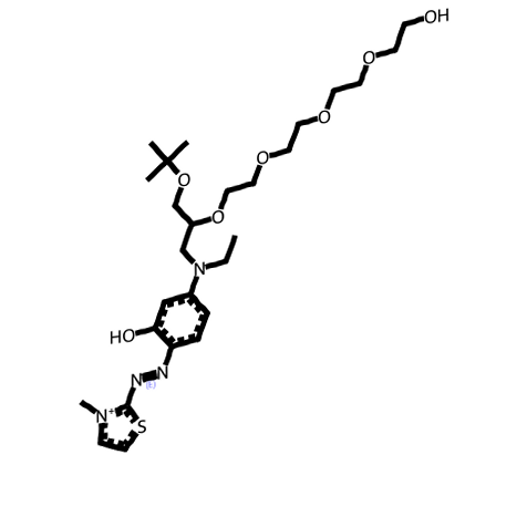 CCN(CC(COC(C)(C)C)OCCOCCOCCOCCO)c1ccc(/N=N/c2scc[n+]2C)c(O)c1